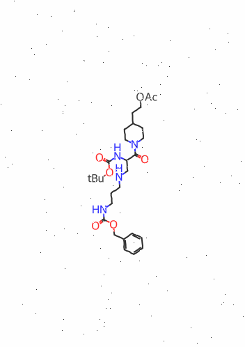 CC(=O)OCCC1CCN(C(=O)C(CNCCCNC(=O)OCc2ccccc2)NC(=O)OC(C)(C)C)CC1